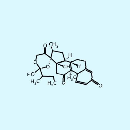 CCC(C)C1(O)OCC(=O)[C@@]2(O1)[C@@H](C)C[C@H]1[C@@H]3CCC4=CC(=O)C=C[C@]4(C)[C@@]3(F)C(=O)C[C@@]12C